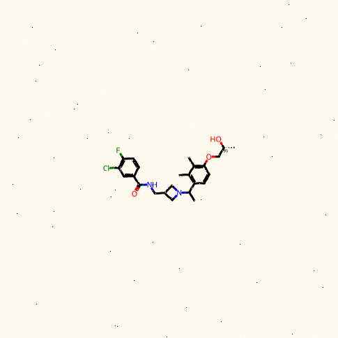 Cc1c(OC[C@@H](C)O)ccc(C(C)N2CC(CNC(=O)c3ccc(F)c(Cl)c3)C2)c1C